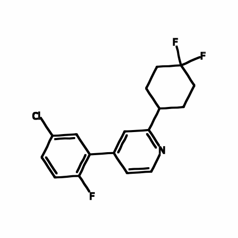 Fc1ccc(Cl)cc1-c1ccnc(C2CCC(F)(F)CC2)c1